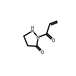 C=CC(=O)N1NCCC1=O